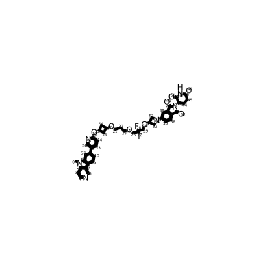 Cn1c2ccncc2c2ccc(-c3ccc(O[C@H]4C[C@H](OCCCOCC(F)(F)COC5CN(c6ccc7c(c6)C(=O)N(C6CCC(=O)NC6=O)C7=O)C5)C4)nc3)cc21